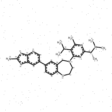 Cc1nc([C@@H](C)N(C)C)nc(N2CCOc3ccc(-c4cnc5sc(N)nc5c4)cc3C2)c1C(C)C